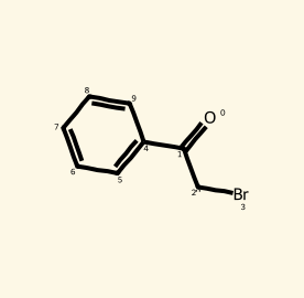 O=C([C]Br)c1ccccc1